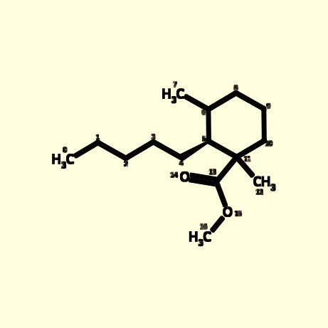 CCCCC[C@H]1C(C)CCCC1(C)C(=O)OC